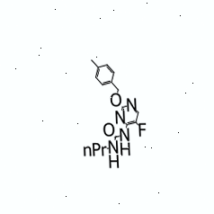 CCCNC(=O)Nc1nc(OCc2ccc(C)cc2)ncc1F